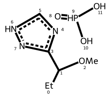 CCC(OC)c1nc[nH]n1.O=[PH](O)O